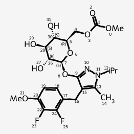 COC(=O)OC[C@H]1O[C@@H](Oc2nn(C(C)C)c(C)c2Cc2ccc(OC)c(F)c2F)[C@H](O)[C@@H](O)[C@@H]1O